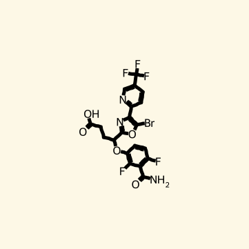 NC(=O)c1c(F)ccc(OC(CCC(=O)O)c2nc(-c3ccc(C(F)(F)F)cn3)c(Br)o2)c1F